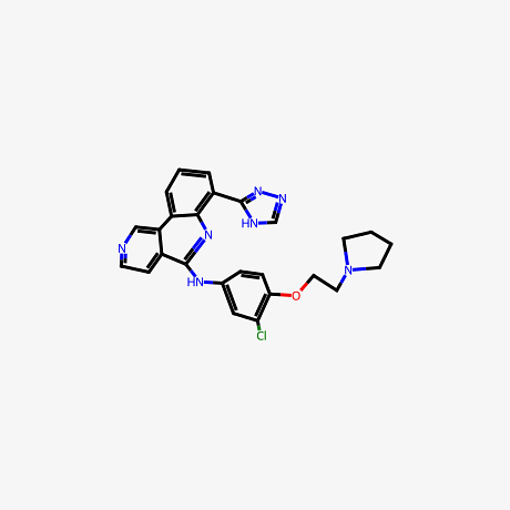 Clc1cc(Nc2nc3c(-c4nnc[nH]4)cccc3c3cnccc23)ccc1OCCN1CCCC1